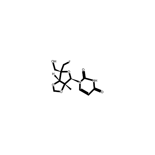 C[C@@]12OCO[C@@H]1[C@](CO)(CF)O[C@H]2n1ccc(=O)[nH]c1=O